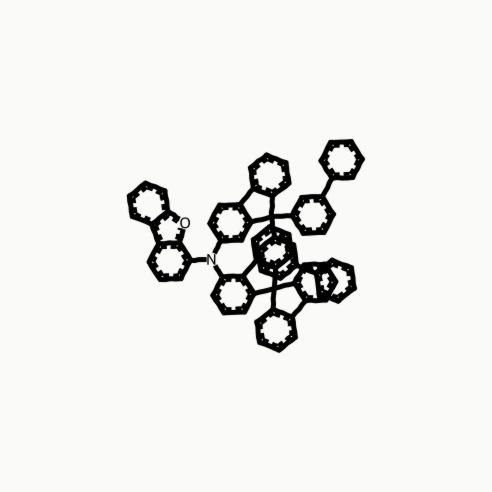 c1ccc(-c2cccc(C3(c4cccc(-c5ccccc5)c4)c4ccccc4-c4ccc(N(c5cccc6c5-c5ccccc5C65c6ccccc6-c6ccccc65)c5cccc6c5oc5ccccc56)cc43)c2)cc1